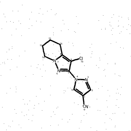 N#Cc1cnn(-c2nn3c(c2Cl)CCCC3)c1